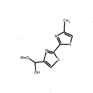 COC(O)c1csc(-c2nc(C)cs2)n1